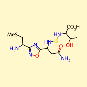 CSCC(N)c1noc(C(CC(N)=O)NSNC(C(=O)O)C(C)O)n1